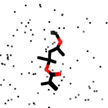 C=C(C)C(=O)OC(C)(C)CC(C)OC(C)(C)C